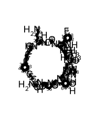 CC1(C)NC(=O)[C@H](Cc2c[nH]c3ccc(F)cc23)NC(=O)CNC(=O)[C@H](CCCCN)NC(=O)CCSCc2cccc(c2)CSC[C@@H](C(N)=O)NC(=O)[C@@H]2CCCN2C(=O)[C@H](Cc2ccc(O)cc2)NC(=O)[C@H](Cc2cnc[nH]2)NC(=O)[C@H](CC(=O)O)NC1=O